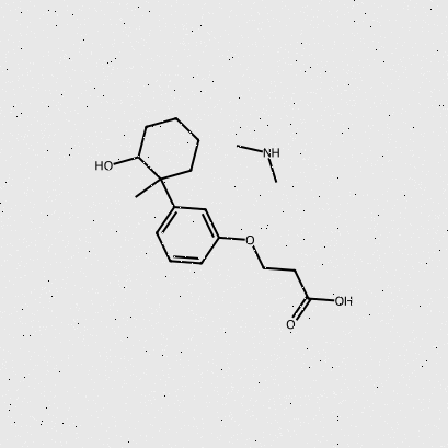 CC1(c2cccc(OCCC(=O)O)c2)CCCCC1O.CNC